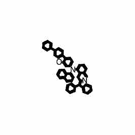 c1ccc(-c2ccc3c(c2)oc2cc(N(c4cccc5ccccc45)c4cccc5cn6c(cc45)c(-c4ccccc4)c4ccccc46)ccc23)cc1